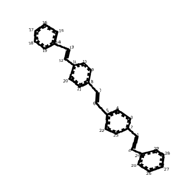 C(=C\c1ccc(/C=C/c2ccc(/C=C/c3ccccc3)cc2)cc1)/c1ccccc1